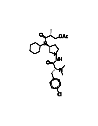 CC(=O)OC[C@@H](C)C(=O)N(C1CCCCC1)[C@H]1CCN(NC(=O)[C@@H](Cc2ccc(Cl)cc2)N(C)C)C1